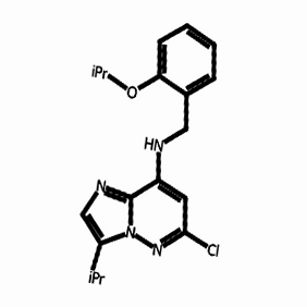 CC(C)Oc1ccccc1CNc1cc(Cl)nn2c(C(C)C)cnc12